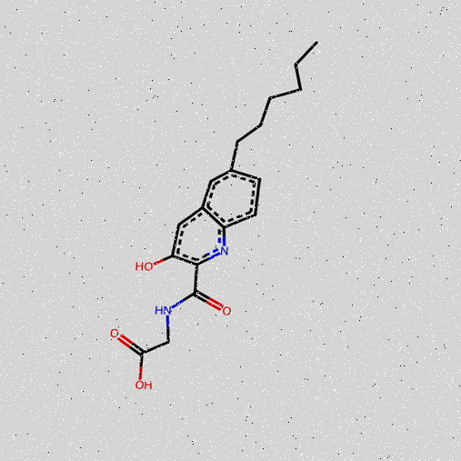 CCCCCCc1ccc2nc(C(=O)NCC(=O)O)c(O)cc2c1